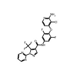 Nc1nccc(Oc2c(F)cc(NC(=O)c3cnn(-c4ncccn4)c3C(F)(F)F)cc2F)c1Cl